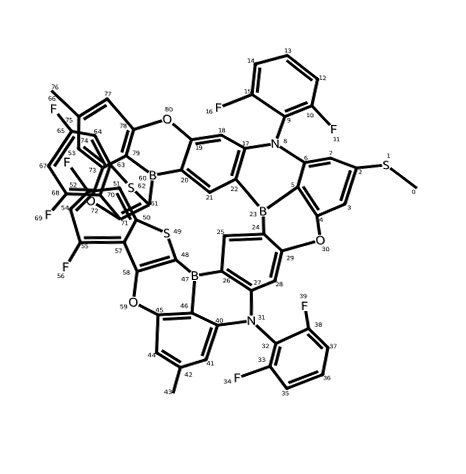 CSc1cc2c3c(c1)N(c1c(F)cccc1F)c1cc4c(cc1B3c1cc3c(cc1O2)N(c1c(F)cccc1F)c1cc(C)cc2c1B3c1sc3cc(F)cc(F)c3c1O2)B1c2sc3cc(F)cc(F)c3c2Oc2cc(C)cc(c21)O4